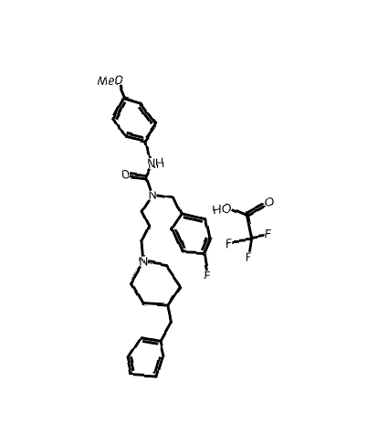 COc1ccc(NC(=O)N(CCCN2CCC(Cc3ccccc3)CC2)Cc2ccc(F)cc2)cc1.O=C(O)C(F)(F)F